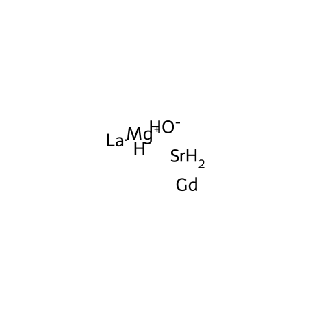 [Gd].[La].[MgH+].[OH-].[SrH2]